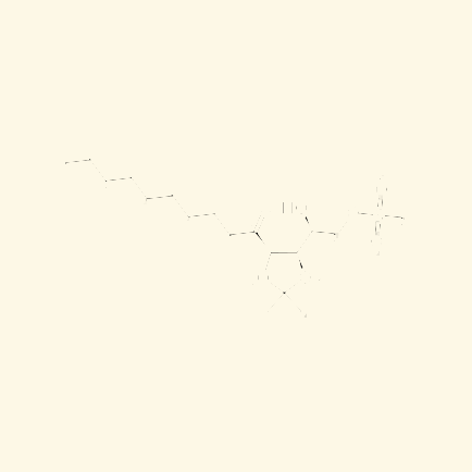 CCCCCCCCCC(=O)[C@@H]1OC(C)(C)O[C@@H]1[C@@H](O)COS(C)(=O)=O